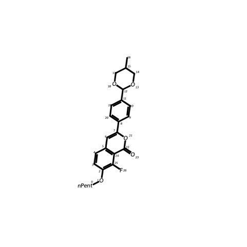 CCCCCOc1ccc2cc(-c3ccc(C4OCC(C)CO4)cc3)oc(=O)c2c1F